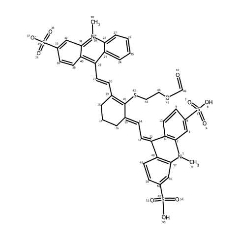 CN1c2cc(S(=O)(=O)O)ccc2C(=C/C=C2\CCCC(/C=C/c3c4ccccc4[n+](C)c4cc(S(=O)(=O)[O-])ccc34)=C2SCCOC=O)c2ccc(S(=O)(=O)O)cc21